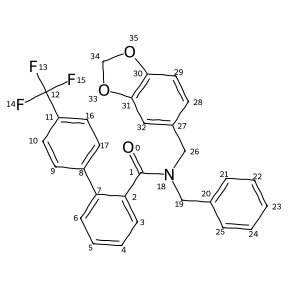 O=C(c1ccccc1-c1ccc(C(F)(F)F)cc1)N(Cc1ccccc1)Cc1ccc2c(c1)OCO2